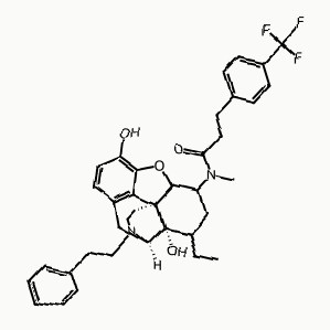 CCC1CC(N(C)C(=O)CCc2ccc(C(F)(F)F)cc2)C2Oc3c(O)ccc4c3[C@@]23CCN(CCc2ccccc2)[C@H](C4)[C@]13O